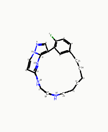 Fc1ccc2cc1-c1cnn3ccc(nc13)NCCNCCCCCC2